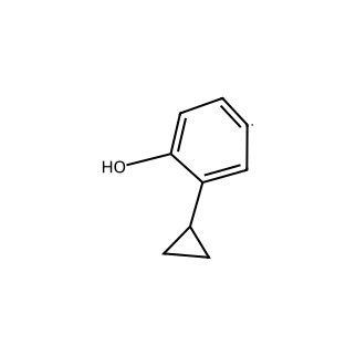 Oc1cc[c]cc1C1CC1